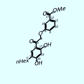 CCCCCCc1cc(C(=O)COc2cccc(C(=O)OC)c2)c(O)cc1O